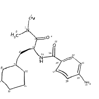 CN(C#N)C(=O)[C@H](CC1CCCCC1)NC(=O)c1ccc(N)cc1